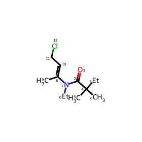 CCN(C(=O)C(C)(C)CC)/C(C)=C/CCl